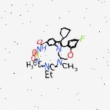 CCN1CCN(C)C2COc3cc(F)ccc3-c3c(C4CCCCC4)c4ccc(cc4n3C2)C(=O)NS(=O)(=O)N(C)CC1